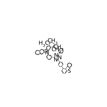 CC1(C)CCC(C)(C)c2cc3c(cc21)c1cc2ccccc2cc1n3-c1cccc(-c2nc(C3=CCC(C4C=CC=C5Sc6ccccc6C54)C=C3)nc(-c3ccccc3)n2)c1